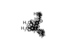 CC(C)(C)CC[C@H](c1ccc(C(=O)NCc2nn[nH]n2)cc1)N1C(=O)C(N2CCn3c(nnc3C(F)(F)F)C2)=NC12CCC(C(C)(C)C)CC2